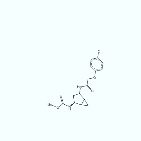 CC(C)(C)OC(=O)N[C@H]1CC(NC(=O)COc2ccc(Cl)cc2)C2CC21